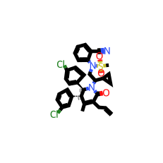 C=CCC1=C(C)[C@H](c2cccc(Cl)c2)[C@@H](c2ccc(Cl)cc2)N(C(CN(c2ccccc2C#N)S(C)(=O)=O)C2CC2)C1=O